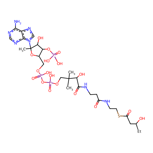 CCC(O)CC(=O)SCCNC(=O)CCNC(=O)C(O)C(C)(C)COP(=O)(O)OP(=O)(O)OCC1OC(C)(n2cnc3c(N)ncnc32)C(O)C1OP(=O)(O)O